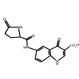 O=C1CCC(C(=O)Nc2ccc3[nH]cc(C(=O)O)c(=O)c3c2)N1